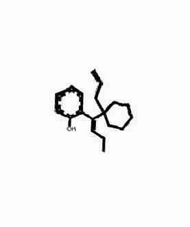 C=CCC1(/C(=C\CC)c2ccccc2O)CCCCC1